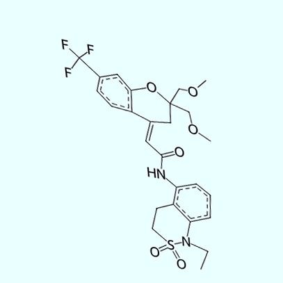 CCN1c2cccc(NC(=O)C=C3CC(COC)(COC)Oc4cc(C(F)(F)F)ccc43)c2CCS1(=O)=O